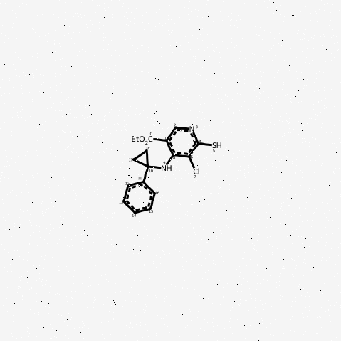 CCOC(=O)c1cnc(S)c(Cl)c1NC1(c2ccccc2)CC1